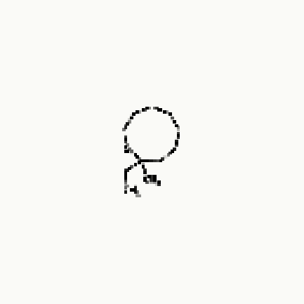 CCC1(C)CCCCCCCS1